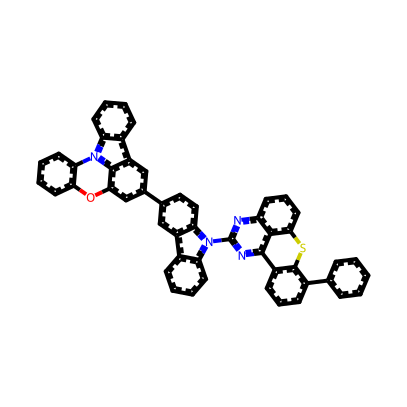 c1ccc(-c2cccc3c2Sc2cccc4nc(-n5c6ccccc6c6cc(-c7cc8c9c(c7)c7ccccc7n9-c7ccccc7O8)ccc65)nc-3c24)cc1